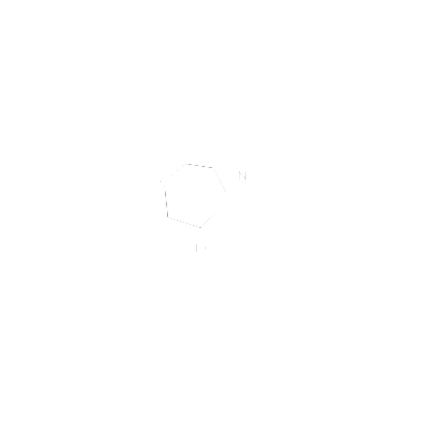 C1COCCO1.N.O